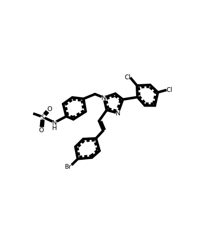 CS(=O)(=O)Nc1ccc(Cn2cc(-c3ccc(Cl)cc3Cl)nc2C=Cc2ccc(Br)cc2)cc1